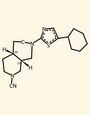 N#CN1CC[C@@H]2CCN(c3ncc(C4CCCCC4)s3)C[C@@H]2C1